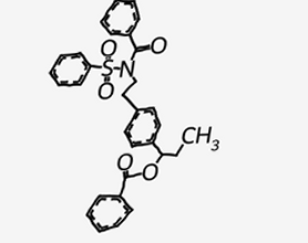 CCC(OC(=O)c1ccccc1)c1ccc(CCN(C(=O)c2ccccc2)S(=O)(=O)c2ccccc2)cc1